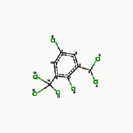 Clc1cc(C(Cl)Cl)c(Cl)c(C(Cl)(Cl)Cl)c1